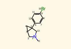 CN1CC2CC2(c2ccc(Br)cc2)C1